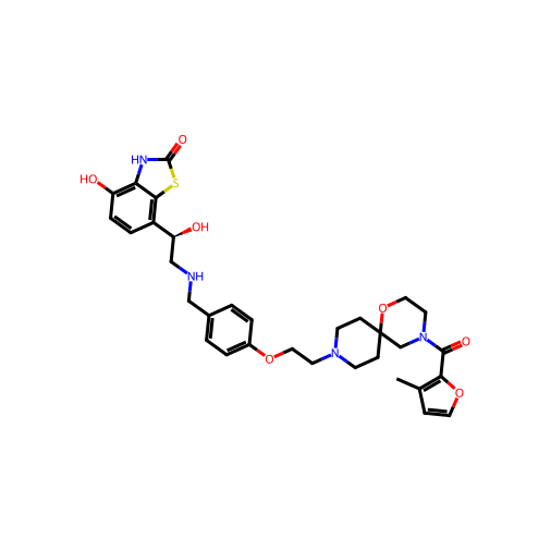 Cc1ccoc1C(=O)N1CCOC2(CCN(CCOc3ccc(CNC[C@H](O)c4ccc(O)c5[nH]c(=O)sc45)cc3)CC2)C1